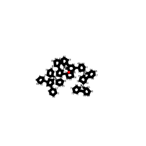 c1ccc(-c2cc(-c3ccccc3)cc(S(c3ccccc3)(c3ccccc3)c3cc(-c4ccccc4)c(-n4c5ccccc5c5cc(-c6cccc(-n7c8ccccc8c8cc(-n9c%10ccccc%10c%10ccccc%109)ccc87)c6)ccc54)c(-c4ccccc4)c3)c2)cc1